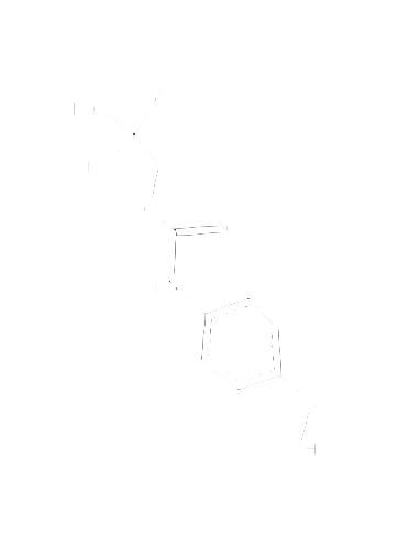 COc1ccc(NC(=O)OCC(C)(C)C)cc1